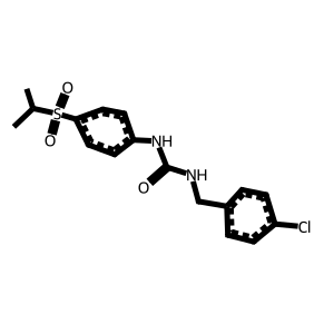 CC(C)S(=O)(=O)c1ccc(NC(=O)NCc2ccc(Cl)cc2)cc1